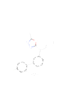 COc1cc(F)ccc1-c1cccc(C(CC(=O)O)c2nnc(C)o2)c1